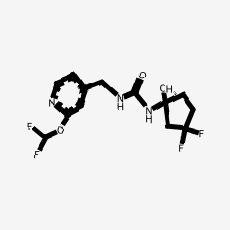 CC1(NC(=O)NCc2ccnc(OC(F)F)c2)CCC(F)(F)C1